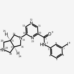 O=C(Nc1cccc(I)c1)c1cncc(N2C[C@H]3CNC[C@H]3C2)n1